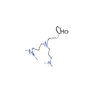 CN(C)CCCN(CCC=O)CCCN(C)C